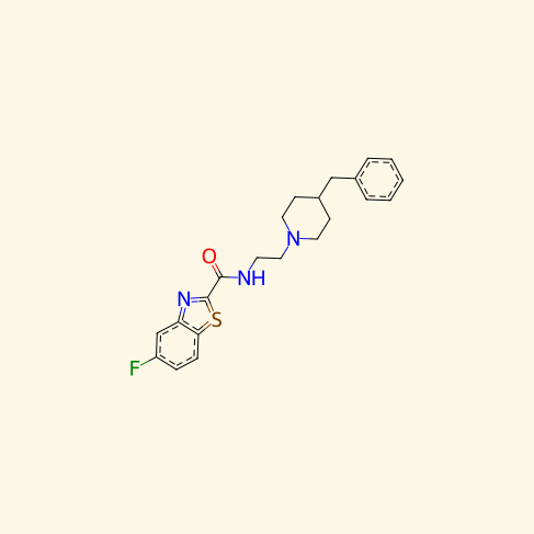 O=C(NCCN1CCC(Cc2ccccc2)CC1)c1nc2cc(F)ccc2s1